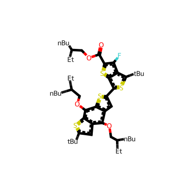 CCCCC(CC)COC(=O)c1sc2c(-c3cc4c(OCC(CC)CCCC)c5cc(C(C)(C)C)sc5c(OCC(CC)CCCC)c4s3)sc(C(C)(C)C)c2c1F